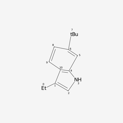 CCc1c[nH]c2cc(C(C)(C)C)ccc12